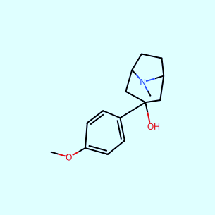 COc1ccc(C2(O)CC3CCC(C2)N3C)cc1